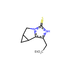 CCOC(=O)Cc1[nH]c(=S)n2c1C1CC1C2